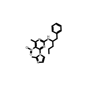 CCCC(Cc1ccccc1)Nc1nc(C)c([N+](=O)[O-])c(-n2ccnc2C)n1